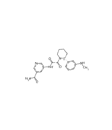 CNc1cccc([C@H]2CCCCN2C(=O)C(=O)Nc2cncc(C(N)=O)c2)c1